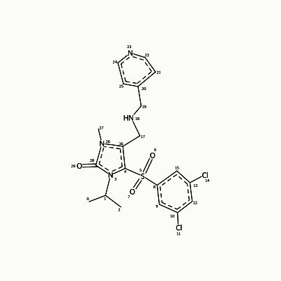 CC(C)n1c(S(=O)(=O)c2cc(Cl)cc(Cl)c2)c(CNCc2ccncc2)n(C)c1=O